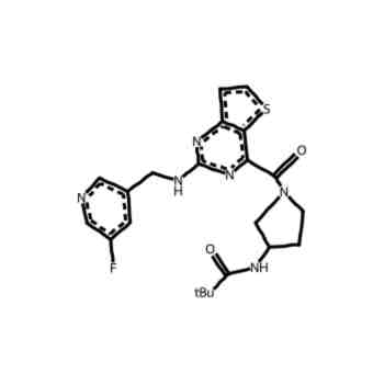 CC(C)(C)C(=O)NC1CCN(C(=O)c2nc(NCc3cncc(F)c3)nc3ccsc23)C1